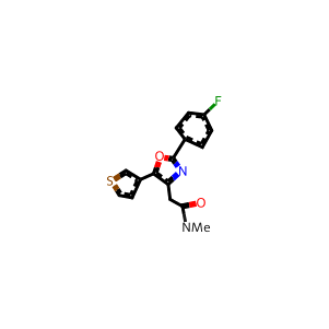 CNC(=O)Cc1nc(-c2ccc(F)cc2)oc1-c1ccsc1